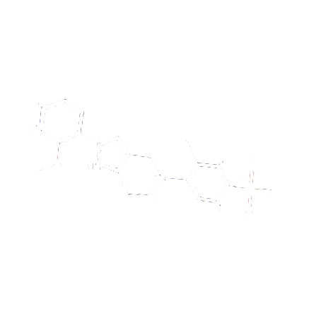 COc1ncccc1-c1cc2c([nH]1)CCN(c1cnc(S(C)(=O)=O)cc1C)C2